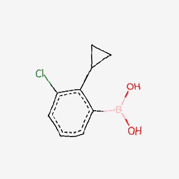 OB(O)c1cccc(Cl)c1C1CC1